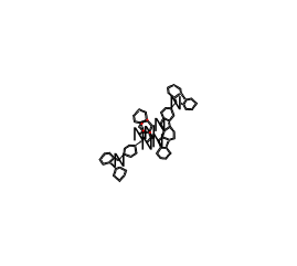 c1ccc(-c2nc(-c3ccc(-n4c5ccccc5c5ccccc54)cc3)nc(-n3c4ccccc4c4ccc5c6cc(-n7c8ccccc8c8ccccc87)ccc6n(-c6ccccc6)c5c43)n2)cc1